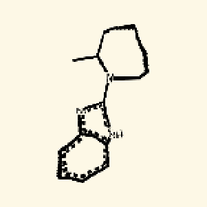 CC1CCCCN1c1nc2ccccc2[nH]1